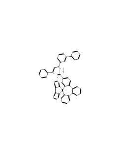 c1ccc(-c2cccc(-c3cc(-c4ccccc4)nc(-c4ccc5c(c4)C4(c6ccccc6-c6ccccc6-5)c5ccccc5-c5ccccc54)n3)c2)cc1